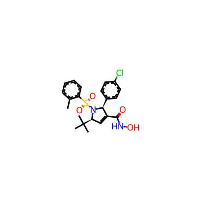 Cc1ccccc1S(=O)(=O)N1[C@@H](c2ccc(Cl)cc2)C(C(=O)NO)=C[C@H]1C(C)(C)C